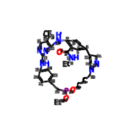 CCNC(=O)c1cc2ccc1Nc1nc(ncc1C(F)(F)F)Nc1ccc(cc1)CP(OCC)OCCCn1cc-2cn1